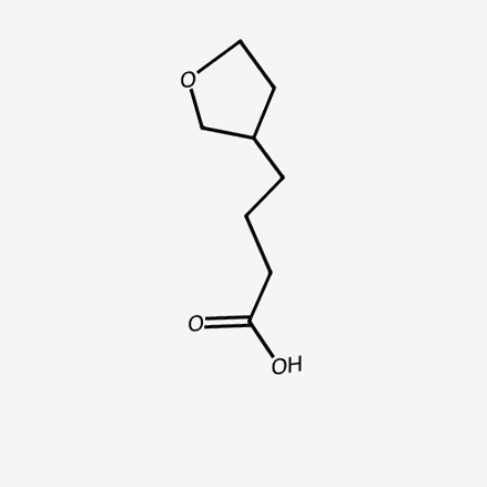 O=C(O)CCCC1CCOC1